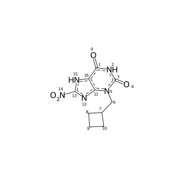 O=c1[nH]c(=O)n(CC2CCC2)c2nc([N+](=O)[O-])[nH]c12